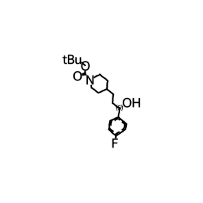 CC(C)(C)OC(=O)N1CCC(CC[C@H](O)c2ccc(F)cc2)CC1